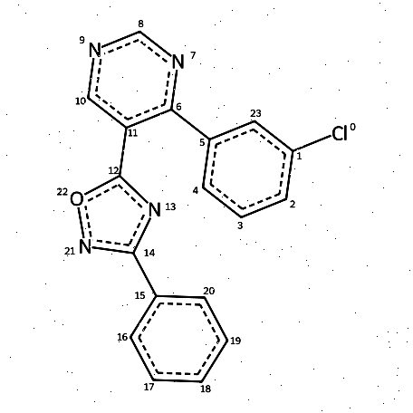 Clc1cccc(-c2ncncc2-c2nc(-c3ccccc3)no2)c1